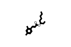 CCCCCC(CC)OC(=O)C=Cc1ccc(C)cc1C